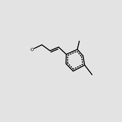 Cc1ccc(C=CC[O])c(C)c1